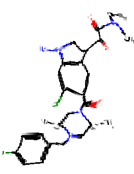 C[C@@H]1CN(Cc2ccc(F)cc2)[C@@H](C)CN1C(=O)c1cc2c(cc1Cl)N(N)CC2C(=O)C(=O)N(C)C